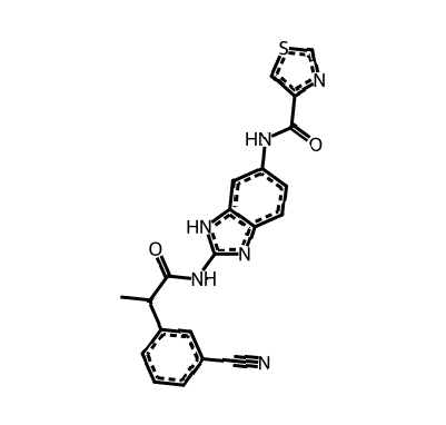 CC(C(=O)Nc1nc2ccc(NC(=O)c3cscn3)cc2[nH]1)c1cccc(C#N)c1